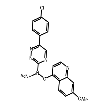 COc1ccc2c(ON(NC(C)=O)c3ncc(-c4ccc(Cl)cc4)nn3)ccnc2c1